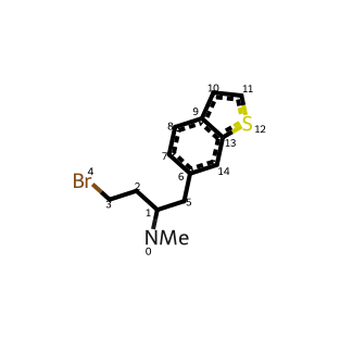 CNC(CCBr)Cc1ccc2ccsc2c1